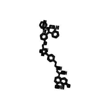 O=C(O)N(C(c1ccccc1)c1cccc(OCc2nc(-c3ccc(CCNC[C@@H](O)c4ccc(O)c5[nH]c(=O)ccc45)cc3)no2)c1)[C@H]1CN2CCC1CC2